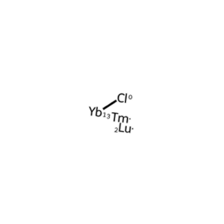 [Cl][Yb].[Lu].[Tm]